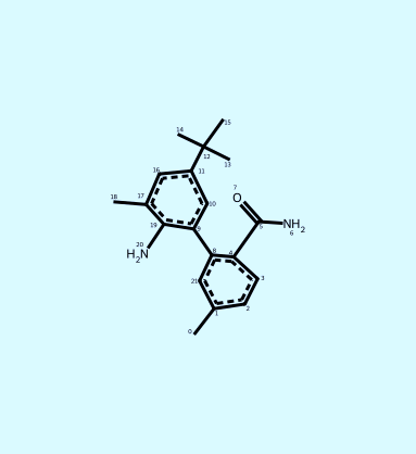 Cc1ccc(C(N)=O)c(-c2cc(C(C)(C)C)cc(C)c2N)c1